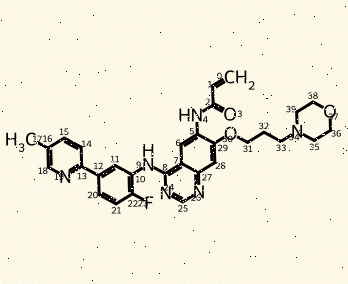 C=CC(=O)Nc1cc2c(Nc3cc(-c4ccc(C)cn4)ccc3F)ncnc2cc1OCCCN1CCOCC1